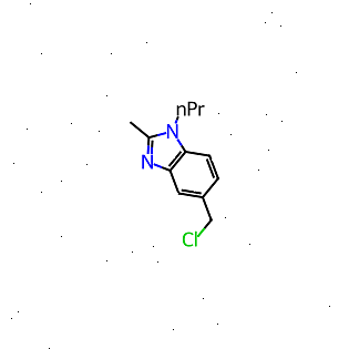 CCCn1c(C)nc2cc(CCl)ccc21